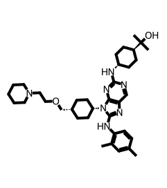 Cc1ccc(Nc2nc3cnc(N[C@H]4CC[C@H](C(C)(C)O)CC4)nc3n2[C@H]2CC[C@@H](COCCN3CCCCC3)CC2)c(C)c1